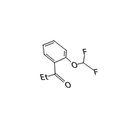 CCC(=O)c1ccccc1OC(F)F